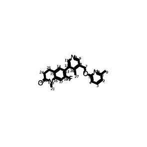 Cc1cccc(OCc2cncc(-c3cc4c(cc3F)N(C)C(=O)CC4)c2C)n1